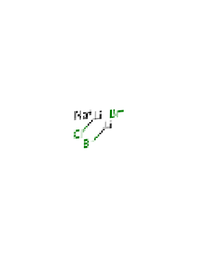 [Br-].[Li][Br].[Li][Cl].[Na+]